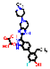 CCc1cc(O)c(F)cc1-c1ccc2c(-c3nc4c([nH]3)CCN(C3CCN(C)CC3)C4)n[nH]c2c1.O=C(O)C(=O)O